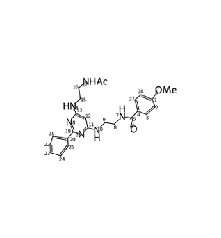 COc1ccc(C(=O)NCCNc2cc(NCCNC(C)=O)nc(-c3ccccc3)n2)cc1